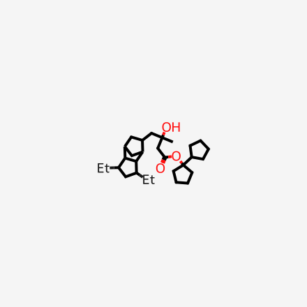 CCC1CC(CC)C2C3CC(CC3CC(C)(O)CC(=O)OC3(C4CCCC4)CCCC3)C12